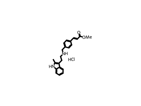 COC(=O)C=Cc1ccc(CNCCc2c(C)[nH]c3ccccc23)cc1.Cl